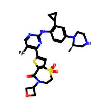 C[C@H]1CNCCN1c1ccc(Nc2ncc(C(F)(F)F)c(-c3cc4c(s3)C(=O)N(C3COC3)CCS4(=O)=O)n2)c(C2CC2)c1